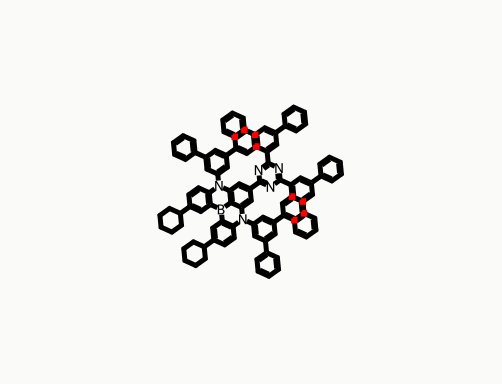 c1ccc(-c2cc(-c3ccccc3)cc(-c3nc(-c4cc(-c5ccccc5)cc(-c5ccccc5)c4)nc(-c4cc5c6c(c4)N(c4cc(-c7ccccc7)cc(-c7ccccc7)c4)c4ccc(C7CCCCC7)cc4B6c4cc(C6CCCCC6)ccc4N5c4cc(-c5ccccc5)cc(-c5ccccc5)c4)n3)c2)cc1